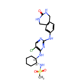 CS(=O)(=O)N[C@@H]1CCCC[C@H]1Nc1nc(Nc2ccc3c(c2)CNC(=O)NC3)ncc1Cl